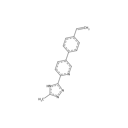 C=Cc1ccc(-c2ccc(-c3nnc(C)[nH]3)nc2)cc1